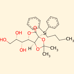 CCCC[Si](c1ccccc1)(c1ccccc1)[C@]12OC(C)(C)O[C@H]1[C@H]([C@H](O)[C@@H](O)CO)OC2=O